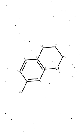 Cc1ccc2c(c1)OCCC2